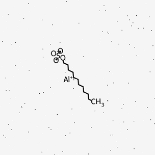 CCCCCCCCCCCCOS(=O)(=O)[O-].[Al+]